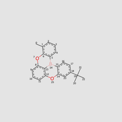 Cc1cccc2c1Oc1cccc3c1B2c1ccc(C(C)(C)C)cc1O3